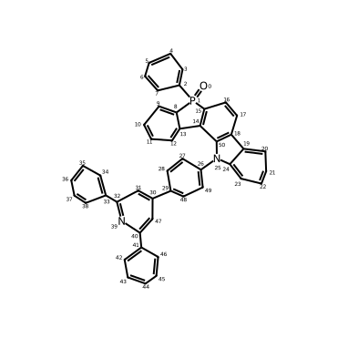 O=P1(c2ccccc2)c2ccccc2-c2c1ccc1c3ccccc3n(-c3ccc(-c4cc(-c5ccccc5)nc(-c5ccccc5)c4)cc3)c21